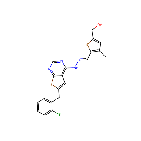 Cc1cc(CO)sc1C=NNc1ncnc2sc(Cc3ccccc3F)cc12